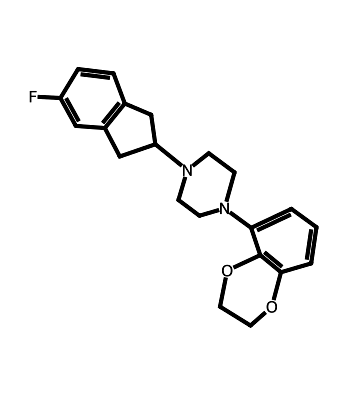 Fc1ccc2c(c1)CC(N1CCN(c3cccc4c3OCCO4)CC1)C2